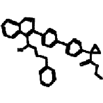 CCOC(=O)C1(c2ccc(-c3ccc(-c4ncc5ccccc5c4C(O)CCCc4ccccc4)cc3)cc2)CC1